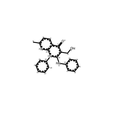 Cc1ccc2c(=O)c(CO)c(Nc3ccccc3)n(-c3ccccc3)c2n1